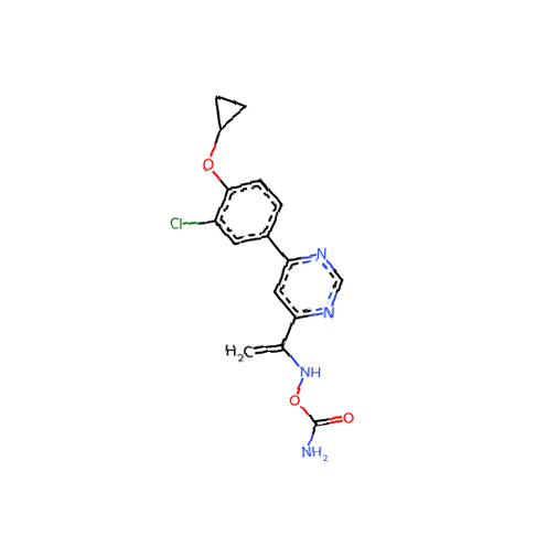 C=C(NOC(N)=O)c1cc(-c2ccc(OC3CC3)c(Cl)c2)ncn1